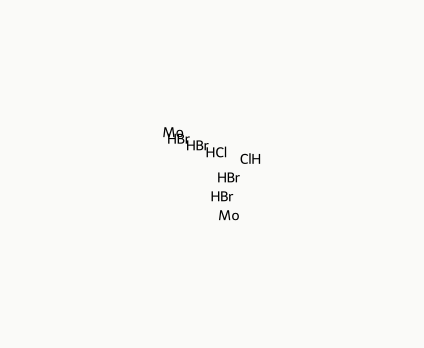 Br.Br.Br.Br.Cl.Cl.[Mo].[Mo]